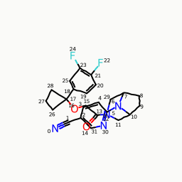 N#Cc1ccc(N2C3CCC2CN(C(=O)COC2(c4ccc(F)c(F)c4)CCC2)C3)nc1